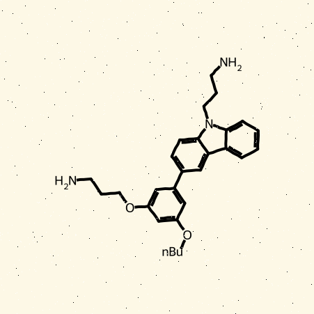 CCCCOc1cc(OCCCN)cc(-c2ccc3c(c2)c2ccccc2n3CCCN)c1